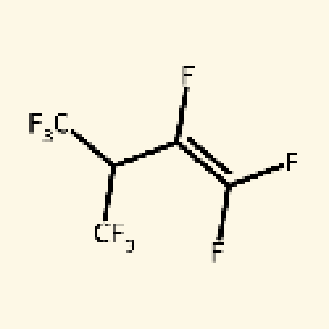 FC(F)=C(F)C(C(F)(F)F)C(F)(F)F